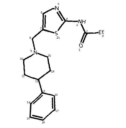 CCC(=O)Nc1ncc(CN2CCC(c3ccccc3)CC2)s1